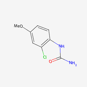 COc1ccc(NC(N)=O)c(Cl)c1